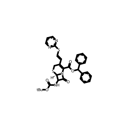 CC(C)(C)OC(=O)NC1C(=O)N2C(C(=O)OC(c3ccccc3)c3ccccc3)=C(/C=C/Sc3ncccn3)CS[C@H]12